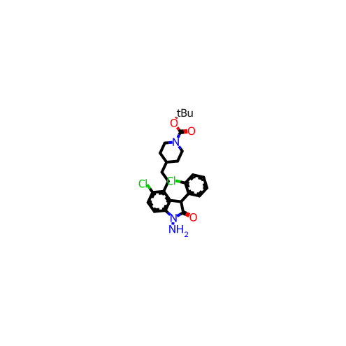 CC(C)(C)OC(=O)N1CCC(CCc2c(Cl)ccc3c2C(c2ccccc2Cl)C(=O)N3N)CC1